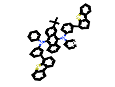 CC(C)(C)c1ccc2c(N(c3ccccc3)c3cccc(-c4cccc5c4sc4ccccc45)c3)c3ccccc3c(N(c3ccccc3)c3cccc(-c4cccc5c4sc4ccccc45)c3)c2c1